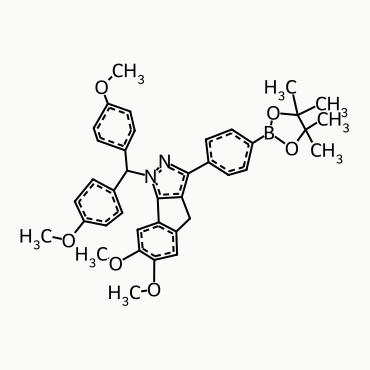 COc1ccc(C(c2ccc(OC)cc2)n2nc(-c3ccc(B4OC(C)(C)C(C)(C)O4)cc3)c3c2-c2cc(OC)c(OC)cc2C3)cc1